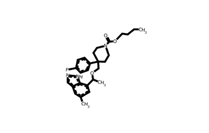 CCCCOC(=O)N1CCC(COC(C)c2cc(C)cc3cn[nH]c23)(c2ccc(F)cc2)CC1